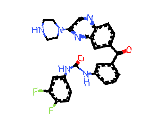 O=C(Nc1cccc(C(=O)c2ccc3ncc(N4CCNCC4)nc3c2)c1)Nc1ccc(F)c(F)c1